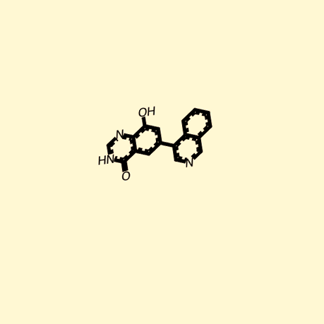 O=c1[nH]cnc2c(O)cc(-c3cncc4ccccc34)cc12